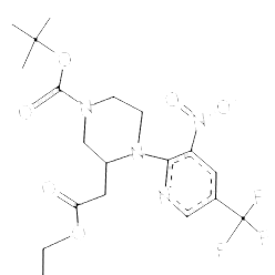 CCOC(=O)CC1CN(C(=O)OC(C)(C)C)CCN1c1ncc(C(F)(F)F)cc1[N+](=O)[O-]